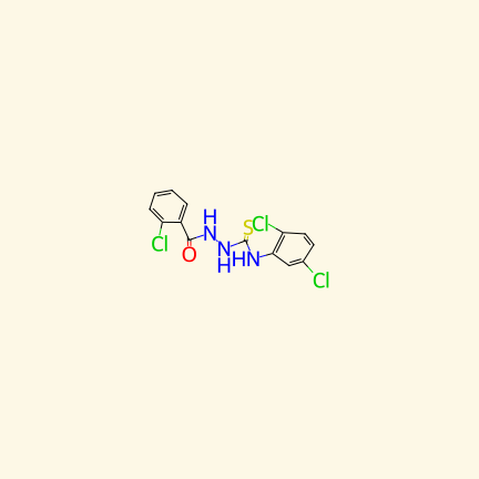 O=C(NNC(=S)Nc1cc(Cl)ccc1Cl)c1ccccc1Cl